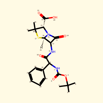 CC(C)(C)OC(=O)NC(C(=O)NC1C(=O)N2[C@@H]1SC(C)(C)[C@@H]2C(=O)O)c1ccccc1